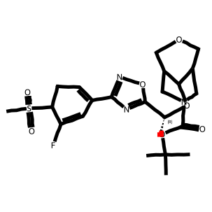 C[C@@H](OC1C2COCC1CN(C(=O)OC(C)(C)C)C2)c1nc(C2=CCC(S(C)(=O)=O)C(F)=C2)no1